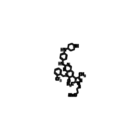 COCCSn1nc(C)c(-c2cc3cnc(Nc4ccc(NC5CCNCC5)cc4)nc3n(Cc3ccccc3C(F)(F)F)c2=O)c1C